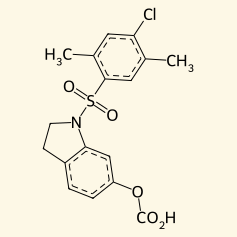 Cc1cc(S(=O)(=O)N2CCc3ccc(OC(=O)O)cc32)c(C)cc1Cl